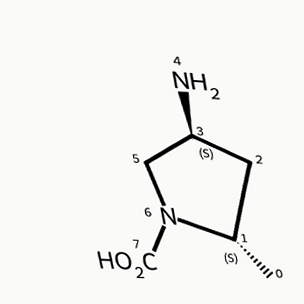 C[C@H]1C[C@H](N)CN1C(=O)O